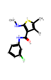 CCc1c(C)sc(N[C]=O)c1C(=O)Nc1cccc(Cl)c1